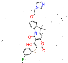 CC1(C)c2cc(OCCn3ccnc3)ccc2-n2c1cc1oc(=O)c(Sc3cccc(F)c3)c(O)c1c2=O